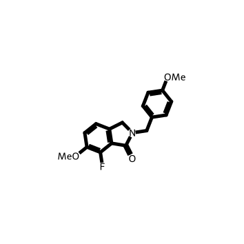 COc1ccc(CN2Cc3ccc(OC)c(F)c3C2=O)cc1